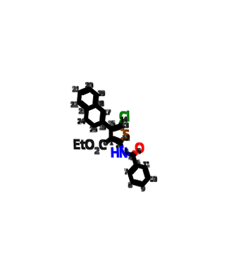 CCOC(=O)c1c(NC(=O)c2ccccc2)sc(Cl)c1C1=Cc2ccccc2CC1